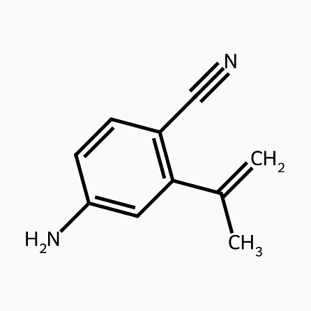 C=C(C)c1cc(N)ccc1C#N